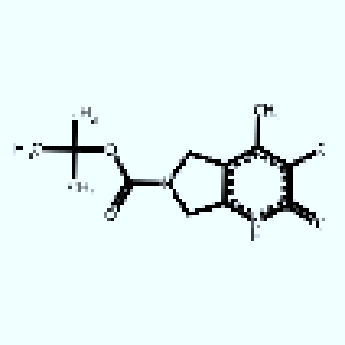 Cc1c2c([nH]c(=O)c1Cl)CN(C(=O)OC(C)(C)C)C2